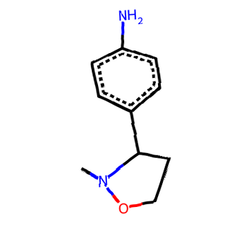 CN1OCCC1c1ccc(N)cc1